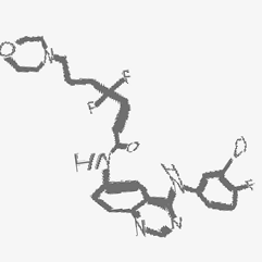 O=C(C=CC(F)(F)CCCN1CCOCC1)Nc1ccc2ncnc(Nc3ccc(F)c(Cl)c3)c2c1